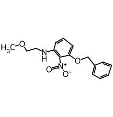 COCCNc1cccc(OCc2ccccc2)c1[N+](=O)[O-]